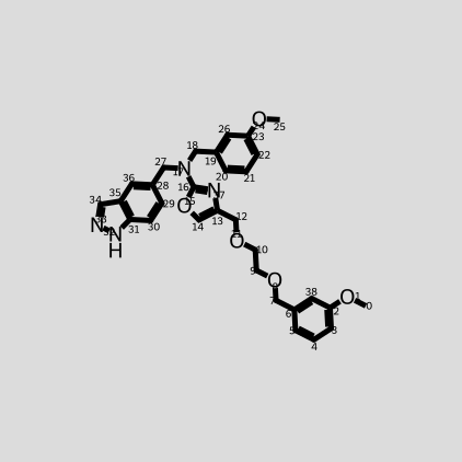 COc1cccc(COCCOCc2coc(N(Cc3cccc(OC)c3)Cc3ccc4[nH]ncc4c3)n2)c1